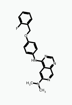 CN(C)c1cc2c(Nc3ccc(OCc4ccccc4F)cc3)ncnc2cn1